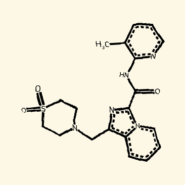 Cc1cccnc1NC(=O)c1nc(CN2CCS(=O)(=O)CC2)c2ccccn12